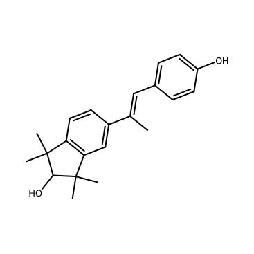 C/C(=C\c1ccc(O)cc1)c1ccc2c(c1)C(C)(C)C(O)C2(C)C